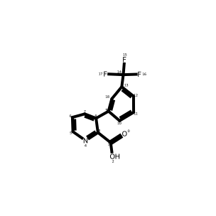 O=C(O)c1ncccc1-c1cccc(C(F)(F)F)c1